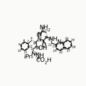 CC(C)N(C[C@H](O)[C@H](Cc1ccccc1)NC(=O)[C@H](CC(N)=O)NCc1ccc2ccccc2n1)NC(=O)O